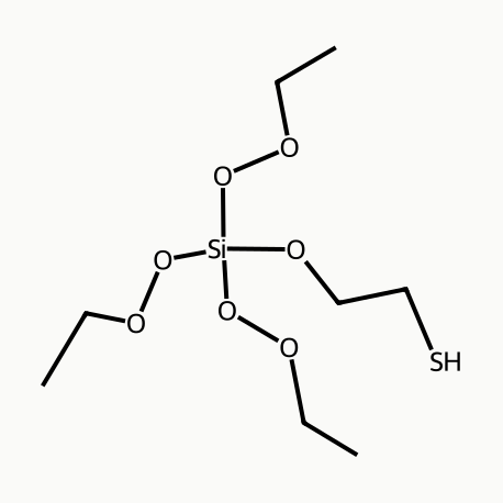 CCOO[Si](OCCS)(OOCC)OOCC